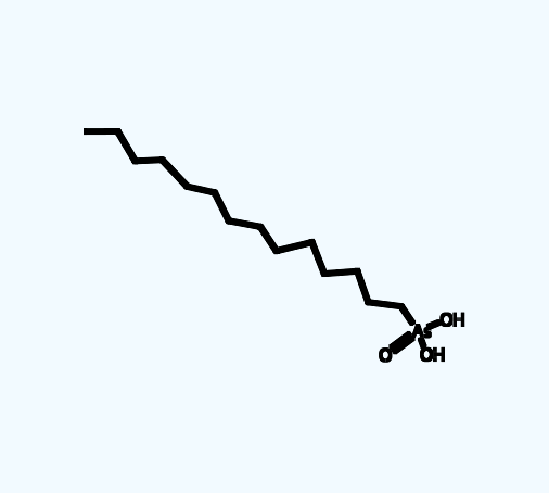 CCCCCCCCCCCCCC[As](=O)(O)O